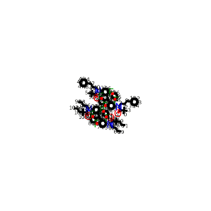 CC(C)(C)C(=O)N(CCCc1ccccc1)c1ccc(F)[c]([Ti]([C]2=CC=CC2)([C]2=CC=CC2)[c]2c(F)ccc(N(CCCc3ccccc3)C(=O)C(C)(C)C)c2F)c1F.CCCCN(C(=O)C(C)(C)CCC)c1ccc(F)[c]([Ti]([C]2=CC=CC2)([C]2=CC=CC2)[c]2c(F)ccc(N(CCCC)C(=O)C(C)(C)CCC)c2F)c1F